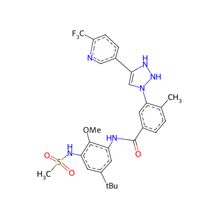 COc1c(NC(=O)c2ccc(C)c(N3C=C(c4ccc(C(F)(F)F)nc4)NN3)c2)cc(C(C)(C)C)cc1NS(C)(=O)=O